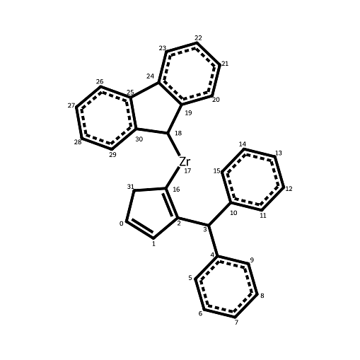 C1=CC(C(c2ccccc2)c2ccccc2)=[C]([Zr][CH]2c3ccccc3-c3ccccc32)C1